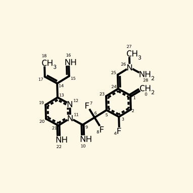 C=c1cc(F)c(C(F)(F)C(=N)n2nc(/C(C=N)=C/C)ccc2=N)c/c1=C/N(C)N